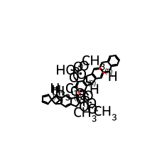 COOP(=O)(O)Oc1c(C)c([C@@H]2CC(C)c3cc4c(cc32)[C@@H]2CC4C23C=CC=C3)c(OP(=O)(OOC)OOC)c2c1C1C[C@@H]2c2cc3c(cc21)C1CC[C@@H]3c2ccccc21